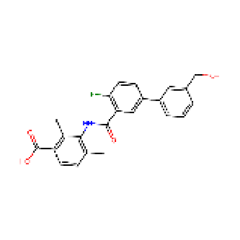 Cc1ccc(C(=O)O)c(C)c1NC(=O)c1cc(-c2cccc(CO)c2)ccc1F